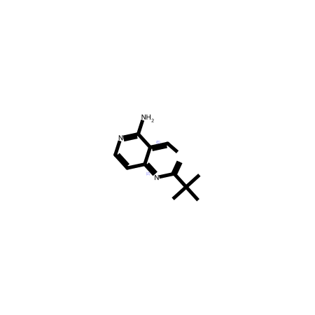 C=C(/N=C1/C=CN=C(N)/C1=C/C)C(C)(C)C